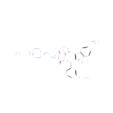 CCOc1ccc2[nH]c3c(c2c1)CC1(CC)C(=O)N(CCN2CCN(C)CC2)C(=O)N1C3c1cccc(O)c1